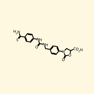 NC(=S)c1ccc(NC(=O)NCc2ccc(N3CC(C(=O)O)OC3=O)cc2)cc1